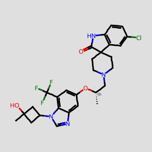 C[C@@H](CN1CCC2(CC1)C(=O)Nc1ccc(Cl)cc12)Oc1cc(C(F)(F)F)c2c(c1)ncn2C1CC(C)(O)C1